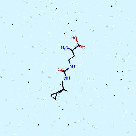 CC(CNC(=O)NCCC(N)C(=O)O)=C1CC1